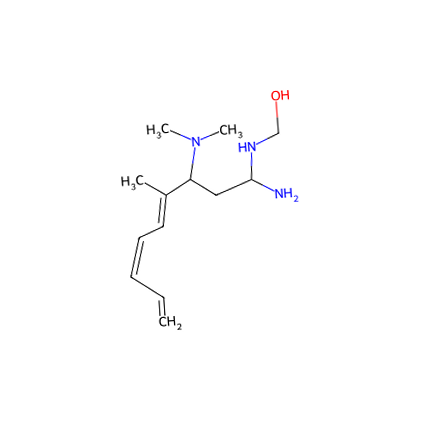 C=C/C=C\C=C(/C)C(CC(N)NCO)N(C)C